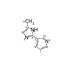 Cc1[c]nc(-c2cccnc2)[nH]1